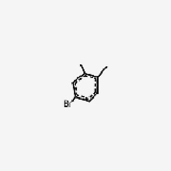 Cc1ccc(Br)cc1C